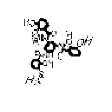 COc1cccc(C(=O)Nc2cc(NC(=O)c3cccc(O)c3O)cc(NC(=O)c3cccc(O)c3O)c2)c1O